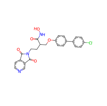 O=C(NO)C(CCN1C(=O)c2ccncc2C1=O)COc1ccc(-c2ccc(Cl)cc2)cc1